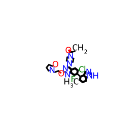 C=CC(=O)N1CCN(c2nc(OCCN3CCCC3=O)nc3c(F)c(-c4c(C)ccc5[nH]ncc45)c(Cl)cc23)CC1